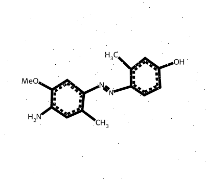 COc1cc(N=Nc2ccc(O)cc2C)c(C)cc1N